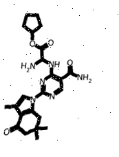 Cc1cn(-c2ncc(C(N)=O)c(NC(N)C(=O)OC3CCCC3)n2)c2c1C(=O)CC(C)(C)C2